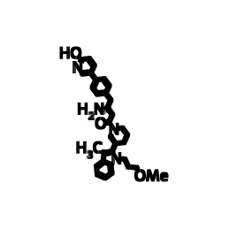 COCCCn1c(C2CCCN(C(=O)C[C@H](N)Cc3ccc(-c4ccc(O)nc4)cc3)C2)c(C)c2ccccc21